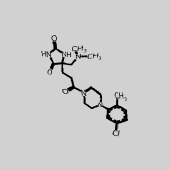 Cc1ccc(Cl)cc1N1CCN(C(=O)CCC2(CN(C)C)NC(=O)NC2=O)CC1